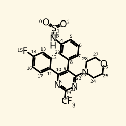 O=[SH](=O)Nc1cccc(-c2c(-c3ccc(F)cc3)nc(C(F)(F)F)nc2N2CCOCC2)c1